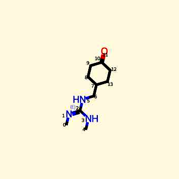 C/N=C(\NC)NCC1CCC(=O)CC1